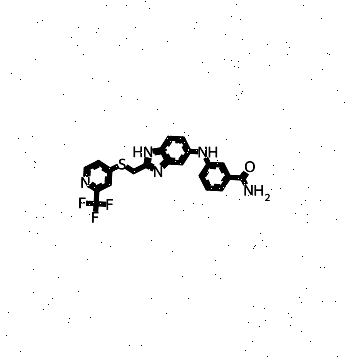 NC(=O)c1cccc(Nc2ccc3[nH]c(CSc4ccnc(C(F)(F)F)c4)nc3c2)c1